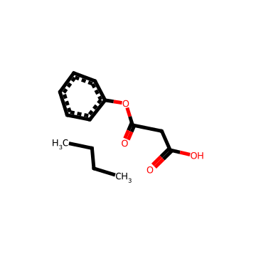 CCCC.O=C(O)CC(=O)Oc1ccccc1